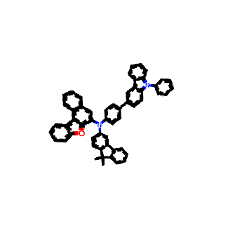 CC1(C)c2ccccc2-c2cc(N(c3ccc(-c4ccc5c(c4)c4ccccc4n5-c4ccccc4)cc3)c3cc4ccccc4c4c3oc3ccccc34)ccc21